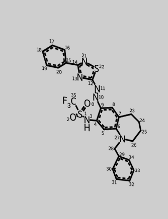 O=S(=O)(Nc1cc2c(cc1N=Nc1nc(-c3ccccc3)ns1)CCCCN2Cc1ccccc1)C(F)(F)F